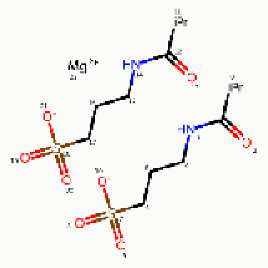 CC(C)C(=O)NCCCS(=O)(=O)[O-].CC(C)C(=O)NCCCS(=O)(=O)[O-].[Mg+2]